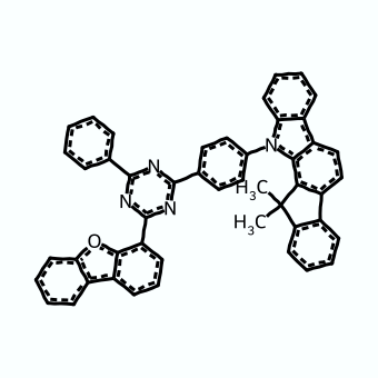 CC1(C)c2ccccc2-c2ccc3c4ccccc4n(-c4ccc(-c5nc(-c6ccccc6)nc(-c6cccc7c6oc6ccccc67)n5)cc4)c3c21